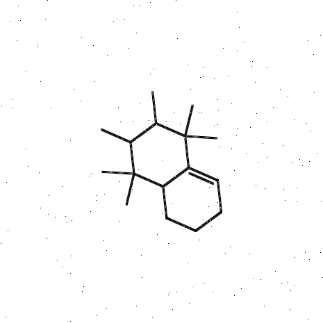 CC1C(C)C(C)(C)C2CCCC=C2C1(C)C